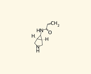 C=CC(=O)NC1[C@H]2CNC[C@@H]12